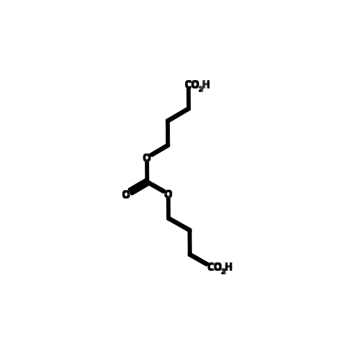 O=C(O)CCCOC(=O)OCCCC(=O)O